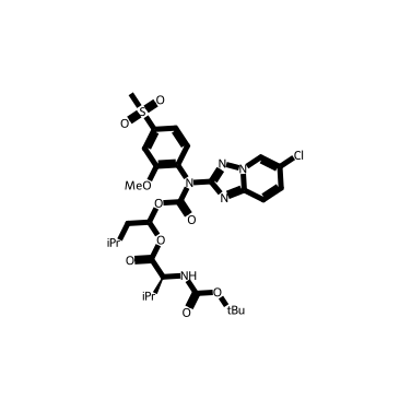 COc1cc(S(C)(=O)=O)ccc1N(C(=O)OC(CC(C)C)OC(=O)[C@@H](NC(=O)OC(C)(C)C)C(C)C)c1nc2ccc(Cl)cn2n1